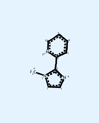 FC(F)(F)n1ccnc1-c1ccccn1